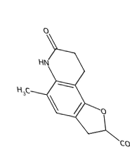 CCOC(=O)C1Cc2cc(C)c3c(c2O1)CCC(=O)N3